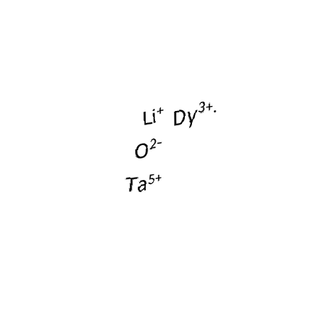 [Dy+3].[Li+].[O-2].[Ta+5]